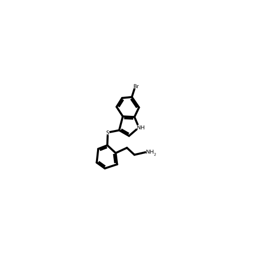 NCCc1ccccc1Sc1c[nH]c2cc(Br)ccc12